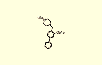 COc1cc(-c2ccccc2)ccc1CN1CCN(C(C)(C)C)CC1